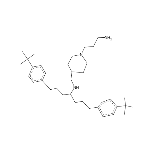 CC(C)(C)c1ccc(CCCC(CCCc2ccc(C(C)(C)C)cc2)NCC2CCN(CCCN)CC2)cc1